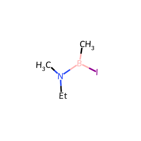 CCN(C)B(C)I